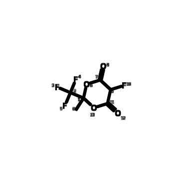 CC1(C(F)(F)F)OC(=O)C(F)C(=O)O1